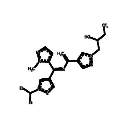 C=C(/N=C(/c1cnn(C(CC)CC)c1)c1ccnn1C)c1cnn(CC(O)CC(F)(F)F)c1